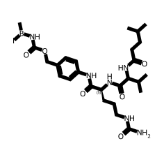 CB(I)NC(=O)OCc1ccc(NC(=O)[C@H](CCCNC(N)=O)NC(=O)C(NC(=O)CCC(C)C)C(C)C)cc1